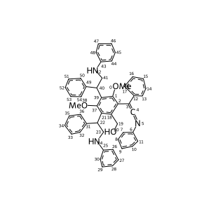 COc1c(C(=C=Nc2ccccc2)c2ccccc2)c(CO)c(C(CNc2ccccc2)c2ccccc2)c(OC)c1C(CNc1ccccc1)c1ccccc1